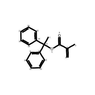 C=C(C)C(=O)OC(C)(c1ccccc1)c1ccccc1